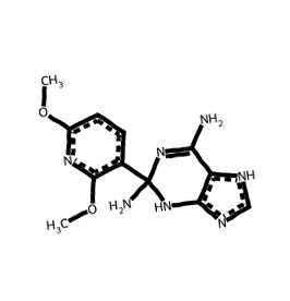 COc1ccc(C2(N)N=C(N)c3[nH]cnc3N2)c(OC)n1